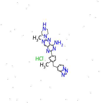 Cc1cc(-c2nc(N)c3nc(N4CCNC[C@@H]4C)ncc3n2)ccc1Cc1ccn2ncnc2c1.Cl